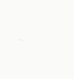 C=CC=C(C)C(C)OC